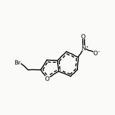 O=[N+]([O-])c1ccc2oc(CBr)cc2c1